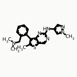 Cc1sc2cnc(Nc3cnn(C)c3)nc2c1-c1ccccc1CN(C)C